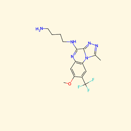 COc1cc2nc(NCCCCN)c3nnc(C)n3c2cc1C(F)(F)F